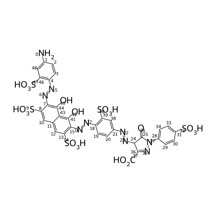 Nc1ccc(N=Nc2c(S(=O)(=O)O)cc3cc(S(=O)(=O)O)c(N=Nc4ccc(N=NC5C(=O)N(c6ccc(S(=O)(=O)O)cc6)N=C5C(=O)O)cc4S(=O)(=O)O)c(O)c3c2O)c(S(=O)(=O)O)c1